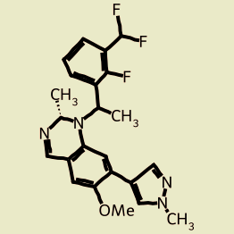 COc1cc2c(cc1-c1cnn(C)c1)N(C(C)c1cccc(C(F)F)c1F)[C@@H](C)N=C2